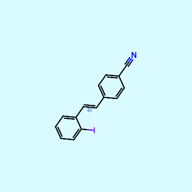 N#Cc1ccc(/C=C/c2ccccc2I)cc1